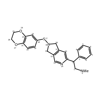 CNCC(c1ccccc1)c1cc2c(cn1)CN(Sc1ccc3c(c1)OCCO3)C2